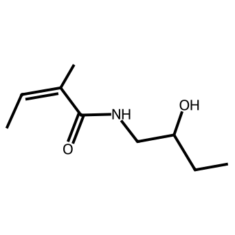 CC=C(C)C(=O)NCC(O)CC